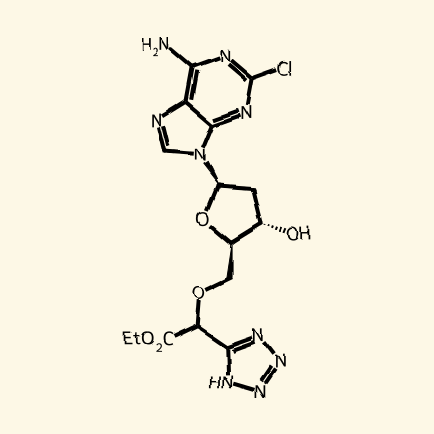 CCOC(=O)C(OC[C@H]1O[C@@H](n2cnc3c(N)nc(Cl)nc32)C[C@@H]1O)c1nnn[nH]1